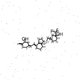 C=C1CC/C(=C/C=C2\CCCC3(C)C2CC[C@@H]3CCN2CCCC(O)(C(F)F)C2)C[C@H]1O